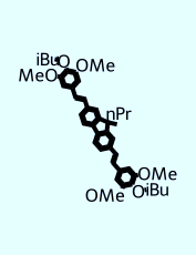 CCCC1(C)c2cc(/C=C/c3cc(OC)c(OC(C)CC)c(OC)c3)ccc2-c2ccc(/C=C/c3cc(OC)c(OC(C)CC)c(OC)c3)cc21